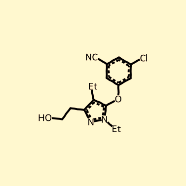 CCc1c(CCO)nn(CC)c1Oc1cc(Cl)cc(C#N)c1